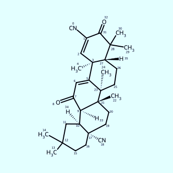 [C-]#[N+]C1=C[C@]2(C)C3=CC(=O)[C@@H]4[C@@H]5CC(C)(C)CC[C@]5(C#N)CC[C@@]4(C)[C@]3(C)CC[C@H]2C(C)(C)C1=O